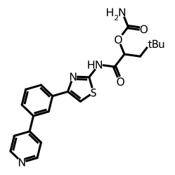 CC(C)(C)CC(OC(N)=O)C(=O)Nc1nc(-c2cccc(-c3ccncc3)c2)cs1